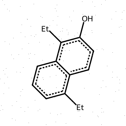 CCc1cccc2c(CC)c(O)ccc12